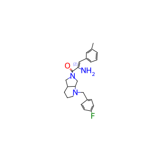 Cc1cccc(/C=C(\N)C(=O)N2CC3CCCN(Cc4ccc(F)cc4)C3C2)c1